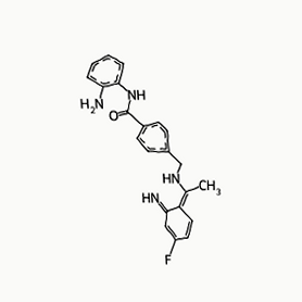 C/C(NCc1ccc(C(=O)Nc2ccccc2N)cc1)=C1\C=CC(F)=CC1=N